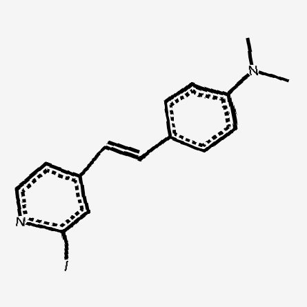 CN(C)c1ccc(/C=C/c2ccnc(I)c2)cc1